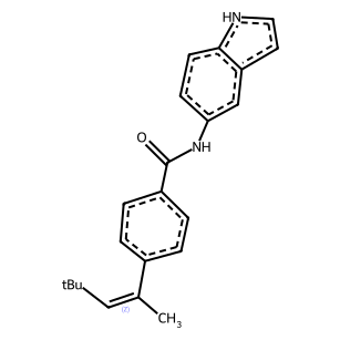 C/C(=C/C(C)(C)C)c1ccc(C(=O)Nc2ccc3[nH]ccc3c2)cc1